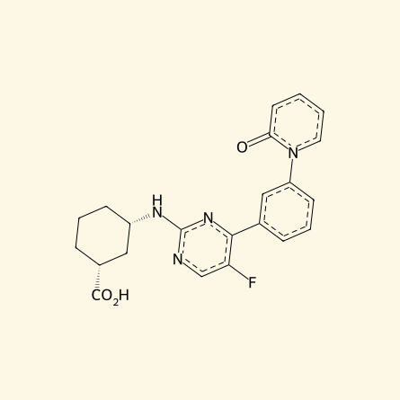 O=C(O)[C@@H]1CCC[C@H](Nc2ncc(F)c(-c3cccc(-n4ccccc4=O)c3)n2)C1